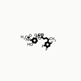 CC(=O)Nc1cc([As](=O)(O)OC(=O)CC[C@@H](C)c2cc(F)c(F)cc2F)ccc1O